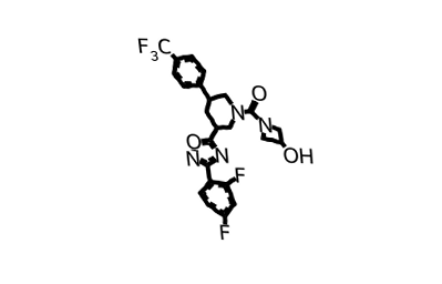 O=C(N1CC(O)C1)N1CC(c2ccc(C(F)(F)F)cc2)CC(c2nc(-c3ccc(F)cc3F)no2)C1